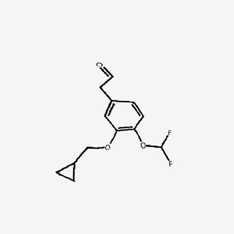 O=CCc1ccc(OC(F)F)c(OCC2CC2)c1